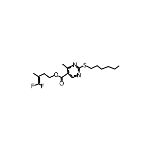 CCCCCCSc1ncc(C(=O)OCCC(C)=C(F)F)c(C)n1